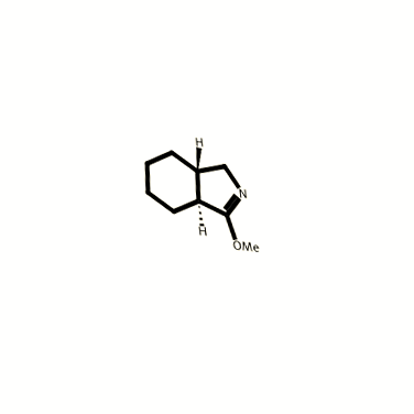 COC1=NC[C@H]2CCCC[C@H]12